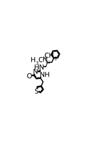 CN(C)[C@H](CNc1nc(=O)cc(Cc2ccsc2)[nH]1)Cc1ccccc1